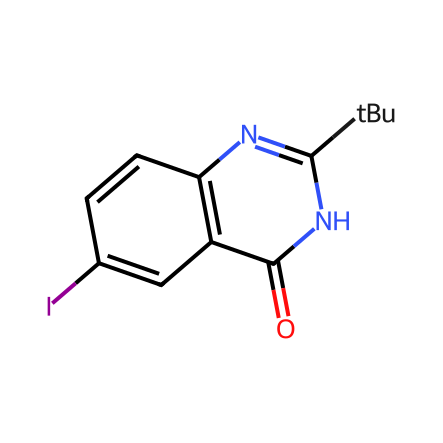 CC(C)(C)c1nc2ccc(I)cc2c(=O)[nH]1